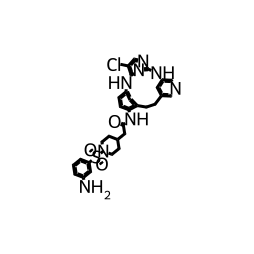 Nc1cccc(S(=O)(=O)N2CCC(CC(=O)Nc3ccc4cc3CCc3cncc(c3)Nc3ncc(Cl)c(n3)N4)CC2)c1